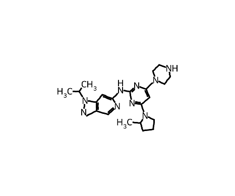 CC1CCCN1c1cc(N2CCNCC2)nc(Nc2cc3c(cn2)cnn3C(C)C)n1